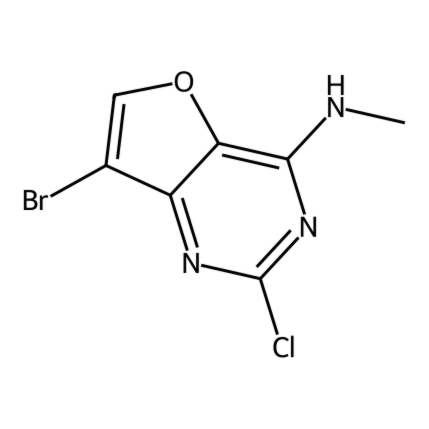 CNc1nc(Cl)nc2c(Br)coc12